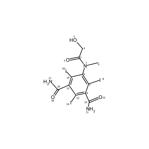 CN(C(=O)CO)c1c(I)c(C(N)=O)c(I)c(C(N)=O)c1I